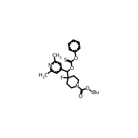 Cc1cc(C(OC(=S)Oc2ccccc2)C2(F)CCN(C(=O)OC(C)(C)C)CC2)cc(C)n1